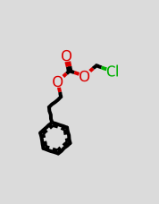 O=C(OCCl)OCCc1ccccc1